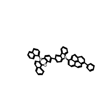 c1ccc(-c2ccc3ccc4c(-n5c6ccccc6c6cc(-c7ccc8c(c7)Oc7c(ccc9ccccc79)N8c7cccc8ccccc78)ccc65)ccc5ccc2c3c54)cc1